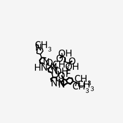 CN1CCC(c2ccc(Nc3cc(-c4ccnc(-n5ncc6cc(C(C)(C)C)cc(F)c6c5=O)c4CO)nn(C)c3=O)nc2)CC1.O=C(O)/C=C/C(=O)O